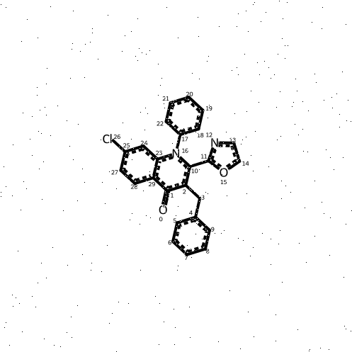 O=c1c(Cc2ccccc2)c(-c2ncco2)n(-c2ccccc2)c2cc(Cl)ccc12